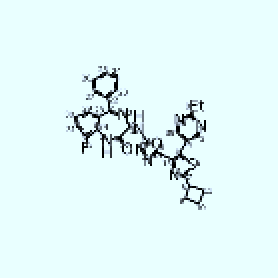 CCc1ncc(-c2sc(C3CCC3)nc2-c2nnc(N[C@H]3N=C(c4ccccc4)c4cccc(F)c4NC3=O)o2)cn1